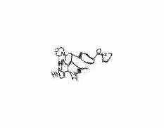 CC1=CNC(C2=CCNN2)C2=C1C(c1ccc(C(=O)N3CCCC3)cc1)CC(N1CCOC[C@H]1C)N2